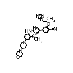 COc1cc(N2CCC(N3CCOCC3)CC2)ccc1Nc1ncc(-c2ccc(C#N)c(O[C@@H](C)Cn3cncn3)c2)cn1